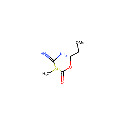 COCCOC(=O)[SH](C)C(=N)N